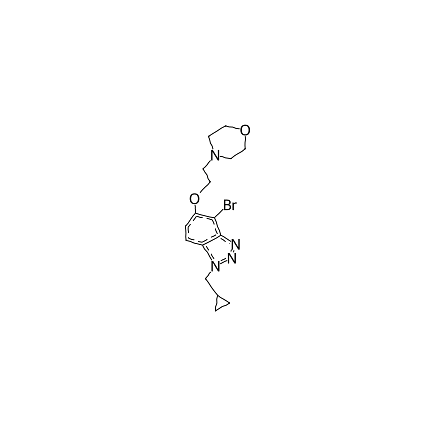 Brc1c(OCCN2CCOCC2)ccc2c1nnn2CC1CC1